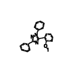 IOc1ccccc1-c1nc(-c2ccccc2)nn1-c1ccccc1